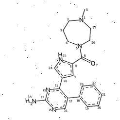 CN1CCCN(C(=O)c2cc(-c3nc(N)ncc3-c3ccccc3)c[nH]2)CC1